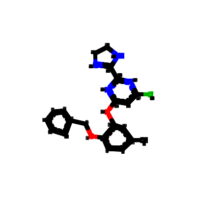 N#Cc1ccc(OCc2ccccc2)c(Oc2cc(Cl)nc(C3=NCCN3)n2)c1